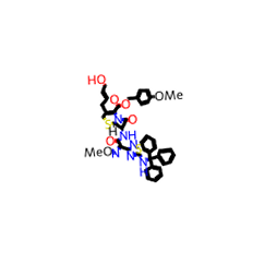 CO/N=C(\C(=O)N[C@@H]1C(=O)N2C(C(=O)OCc3ccc(OC)cc3)=C(C/C=C/CO)CS[C@H]12)c1nsc(NC(c2ccccc2)(c2ccccc2)c2ccccc2)n1